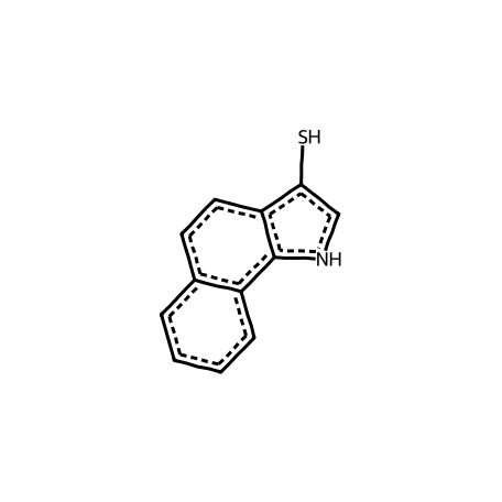 Sc1c[nH]c2c1ccc1ccccc12